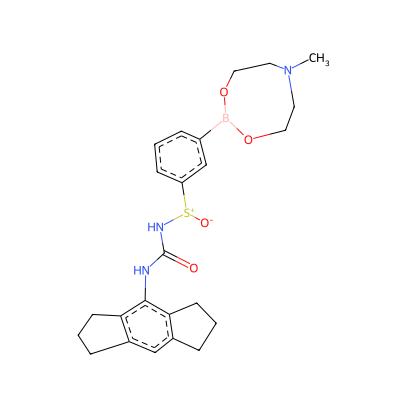 CN1CCOB(c2cccc([S+]([O-])NC(=O)Nc3c4c(cc5c3CCC5)CCC4)c2)OCC1